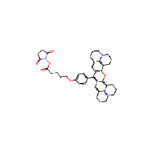 O=C(CCCCOc1ccc(C2=c3cc4c5c(c3Oc3c2cc2c6c3CCCN6CCC2)CCC[N+]=5CCC4)cc1)ON1C(=O)CCC1=O